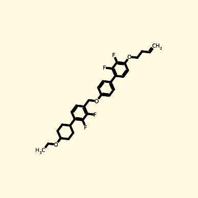 C=CCCOc1ccc(-c2ccc(OCc3ccc(C4CCC(OCC)CC4)c(F)c3F)cc2)c(F)c1F